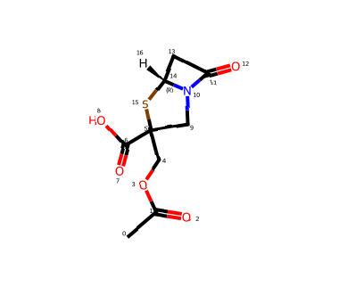 CC(=O)OCC1(C(=O)O)CN2C(=O)C[C@H]2S1